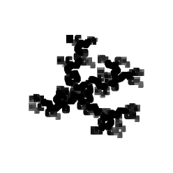 CCCCC(C)CCC(CCC(C)CC(C)C)C(=O)NC(C)CC(C)CN(CC(C)CN(C(C)CCNC(=O)C(CC(C)CC(C)CC)CC(C)CC(C)CCCC)C(C)CC(C)CNC(=O)C(CC(C)CC(C)CCCC)CC(C)C(C)CC)CC(CC)C(C)N1CCN(CC(C)CC(C)OC(=O)CC(C)CC(C)C)CC1